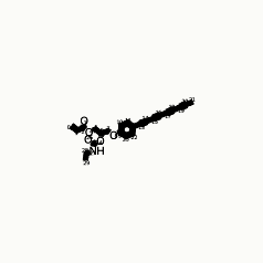 C=CC(=O)OCC(COc1ccc(C#CC#CC#CC#CC)cc1)OC(=O)NCC